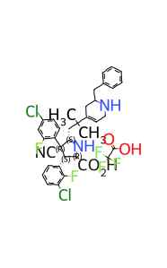 CC(C)(C[C@@H]1N[C@@H](C(=O)O)[C@H](c2cccc(Cl)c2F)[C@@]1(C#N)c1ccc(Cl)cc1F)C1=CCNC(Cc2ccccc2)C1.O=C(O)C(F)(F)F